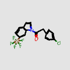 O=C(Cc1ccc(Cl)cc1)N1CCc2ccc(S(F)(F)(F)(F)F)cc21